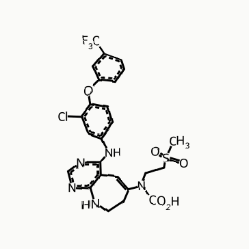 CS(=O)(=O)CCN(C(=O)O)C1=Cc2c(ncnc2Nc2ccc(Oc3cccc(C(F)(F)F)c3)c(Cl)c2)NCC1